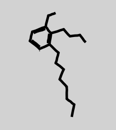 CCCCCCCCc1[c]ccc(CC)c1CCCC